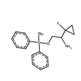 CC(C)(C)[Si](OCC(N)C1(F)CC1)(c1ccccc1)c1ccccc1